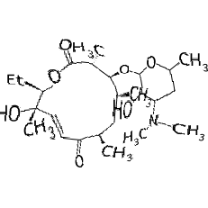 CC[C@H]1OC(=O)[C@H](C)[C@@H](OC2OC(C)CC(N(C)C)C2O)[C@@H](C)C[C@@H](C)C(=O)/C=C/[C@]1(C)O